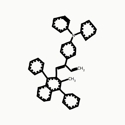 C=C/C(=C\c1c(C)c(-c2ccccc2)c2ccccc2c1-c1ccccc1)c1ccc(N(c2c#cccc2)c2ccccc2)cc1